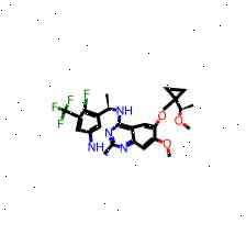 COc1cc2nc(C)nc(N[C@H](C)c3cc(N)cc(C(F)(F)F)c3F)c2cc1OCC1([C@@H](C)OC)CC1